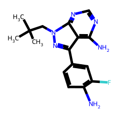 CC(C)(C)Cn1nc(-c2ccc(N)c(F)c2)c2c(N)ncnc21